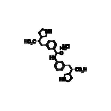 Cl.Cl.O=C(Nc1cccc(C[C@H](C(=O)O)[C@H]2CCNC2)c1)c1cccc(C[C@H](C(=O)O)[C@H]2CCNC2)c1